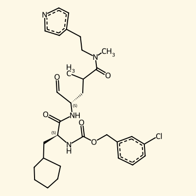 CC(C[C@@H](C=O)NC(=O)[C@H](CC1CCCCC1)NC(=O)OCc1cccc(Cl)c1)C(=O)N(C)CCc1ccncc1